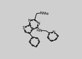 CNCc1nc(NCc2ccccn2)c2c(-c3ccccc3)csc2n1